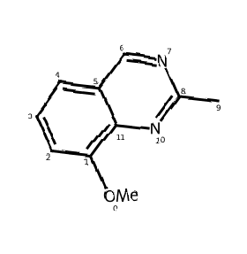 COc1cccc2cnc(C)nc12